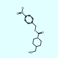 O=C(OCc1ccc([N+](=O)[O-])cc1)N1CCC(CO)CC1